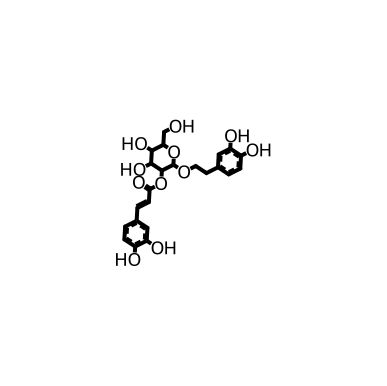 O=C(/C=C/c1ccc(O)c(O)c1)OC1C(OCCc2ccc(O)c(O)c2)OC(CO)C(O)C1O